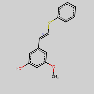 COc1cc(O)cc(/C=C/Sc2ccccc2)c1